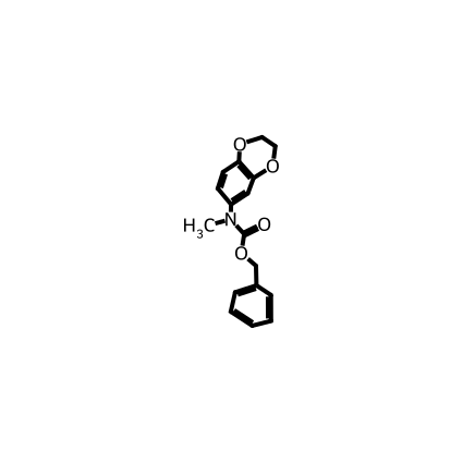 CN(C(=O)OCc1ccccc1)c1ccc2c(c1)OCCO2